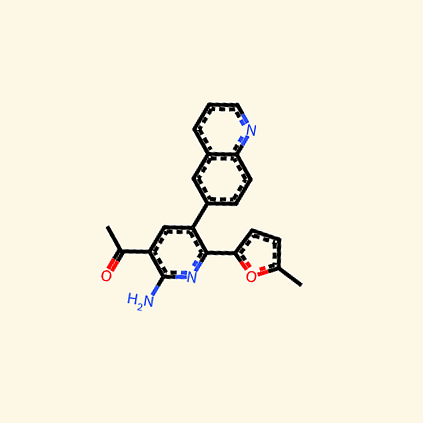 CC(=O)c1cc(-c2ccc3ncccc3c2)c(-c2ccc(C)o2)nc1N